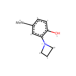 CNc1ccc(O)c(N2CCC2)c1